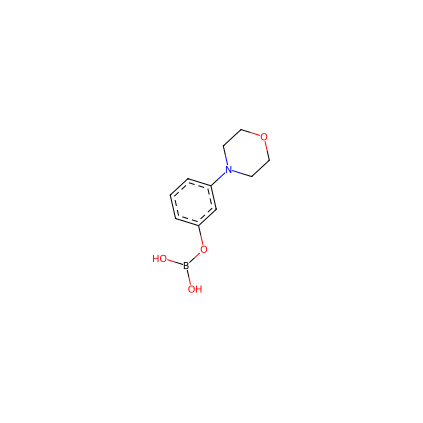 OB(O)Oc1cccc(N2CCOCC2)c1